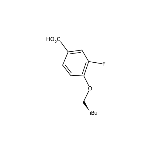 CC[C@H](C)COc1ccc(C(=O)O)cc1F